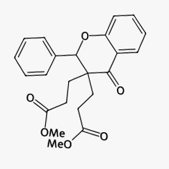 COC(=O)CCC1(CCC(=O)OC)C(=O)c2ccccc2OC1c1ccccc1